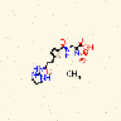 C.O=C(CCc1ccc(C(=O)NC[C@H](N=S(=O)=O)C(=O)O)s1)NC1=NCCCN1